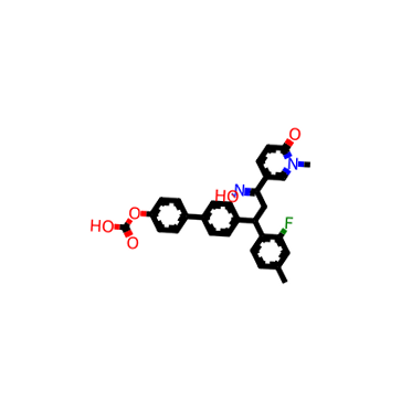 Cc1ccc(C(C/C(=N\O)c2ccc(=O)n(C)c2)c2ccc(-c3ccc(OC(=O)O)cc3)cc2)c(F)c1